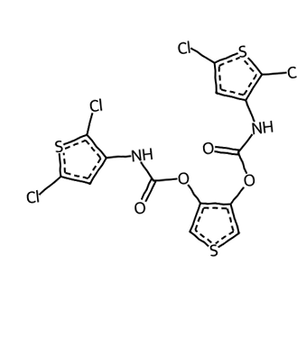 O=C(Nc1cc(Cl)sc1Cl)Oc1cscc1OC(=O)Nc1cc(Cl)sc1Cl